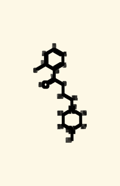 Cc1ccccc1C(=O)CCCN1CCN(C)CC1